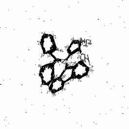 CC1=[C]([Zr](=[C](c2ccccc2)c2ccccc2)[CH]2c3ccccc3-c3ccccc32)CC=C1.Cl.Cl